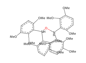 COc1ccc(OC)c([SiH](O[SiH](c2c(OC)ccc(OC)c2OC)c2c(OC)ccc(OC)c2OC)c2c(OC)ccc(OC)c2OC)c1OC